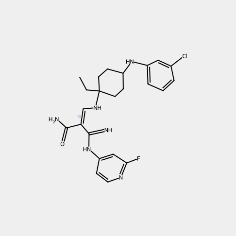 CCC1(N/C=C(\C(=N)Nc2ccnc(F)c2)C(N)=O)CCC(Nc2cccc(Cl)c2)CC1